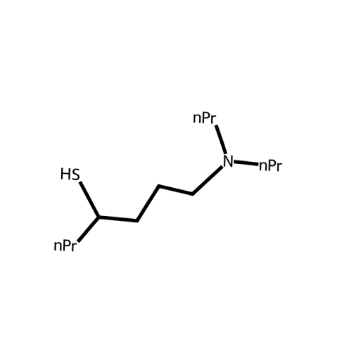 CCCC(S)CCCN(CCC)CCC